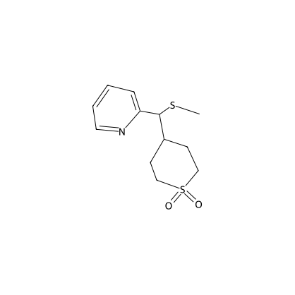 CSC(c1ccccn1)C1CCS(=O)(=O)CC1